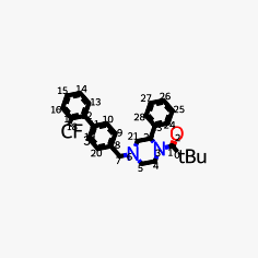 CC(C)(C)C(=O)N1CCN(Cc2ccc(-c3ccccc3C(F)(F)F)cc2)CC1c1ccccc1